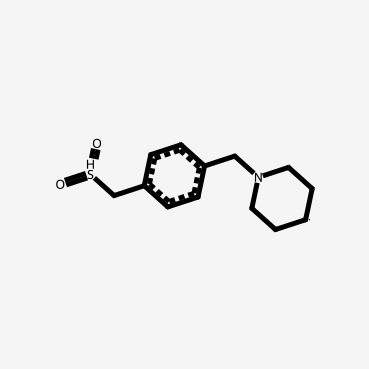 O=[SH](=O)Cc1ccc(CN2CC[CH]CC2)cc1